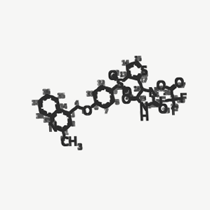 Cc1cc(COc2ccc(S(=O)(=O)c3ccsc3C3C(=O)NC(=O)N3OC(=O)C(F)(F)F)cc2)c2ccccc2n1